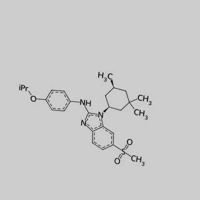 CC(C)Oc1ccc(Nc2nc3ccc(S(C)(=O)=O)cc3n2[C@H]2C[C@@H](C)CC(C)(C)C2)cc1